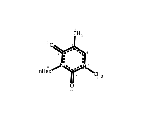 CCCCCCn1c(=O)c(C)cn(C)c1=O